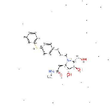 CCNC(=O)C[C@@H]1[C@@H](O)[C@H](O)[C@@H](CO)N1CCCc1ccc(Sc2ccccc2)cc1